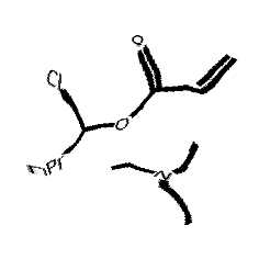 C=CC(=O)OC(Cl)CCC.CN(C)C